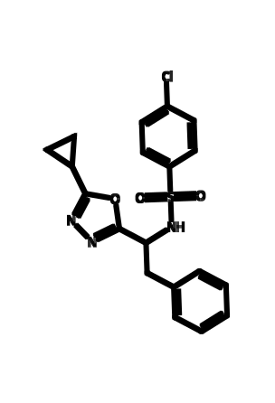 O=S(=O)(NC(Cc1ccccc1)c1nnc(C2CC2)o1)c1ccc(Cl)cc1